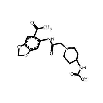 CC(=O)c1cc2c(cc1NC(=O)CN1CCC(NC(=O)O)CC1)OCO2